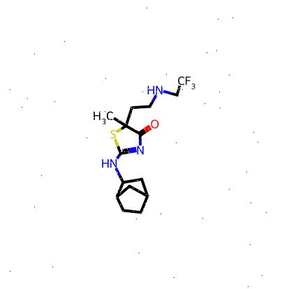 CC1(CCNCC(F)(F)F)SC(NC2CC3CCC2C3)=NC1=O